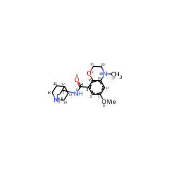 COc1cc(C(=O)NC2CN3CCC2CC3)c2c(c1)N(C)CCO2